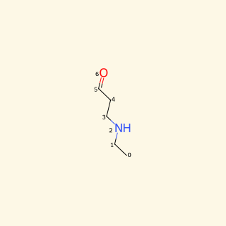 CCNCCC=O